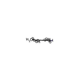 C=CC(=O)OCC(O)COCCCCCCOCC(O)COC(=O)/C=C/I